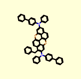 c1ccc(Cc2c(N(c3ccccc3)c3ccc(-c4ccccc4)cc3)cc3sc4ccc5cc(N(c6ccccc6)c6ccc(-c7ccccc7)cc6)cc6sc7ccc2c3c7-c4c56)cc1